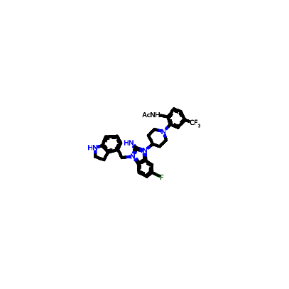 CC(=O)Nc1ccc(C(F)(F)F)cc1N1CCC(n2c(=N)n(Cc3cccc4c3CCN4)c3ccc(F)cc32)CC1